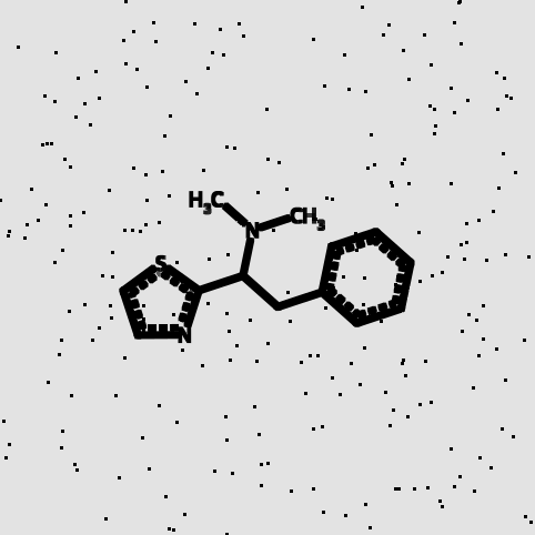 CN(C)C(Cc1ccccc1)c1nccs1